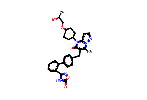 CCCCc1c(Cc2ccc(-c3ccccc3-c3noc(=O)[nH]3)cc2)c(=O)n(C2CCC(OCC(C)O)CC2)c2ccnn12